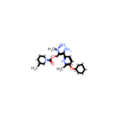 Cc1nc(/C(N)=C(\COC(=O)N2CCCC(C)C2)N(C)N)ccc1OC1CCCCC1